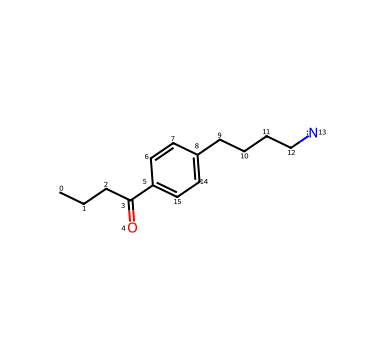 CCCC(=O)c1ccc(CCCC[N])cc1